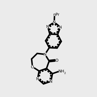 CCCn1nc2ccc(N3CCOc4ncnc(N)c4C3=O)cc2n1